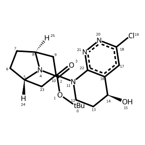 CC(C)(C)OC(=O)N1[C@H]2CC[C@H]1CC(N1CC[C@H](O)c3cc(Cl)nnc31)C2